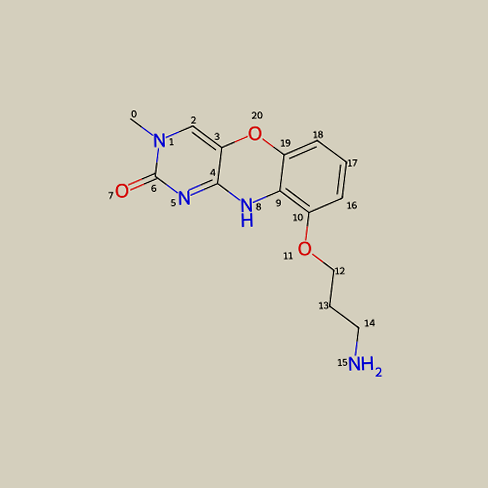 Cn1cc2c(nc1=O)Nc1c(OCCCN)cccc1O2